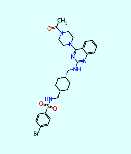 CC(=O)N1CCN(c2nc(NC[C@H]3CC[C@H](CNS(=O)(=O)c4ccc(Br)cc4)CC3)nc3ccccc23)CC1